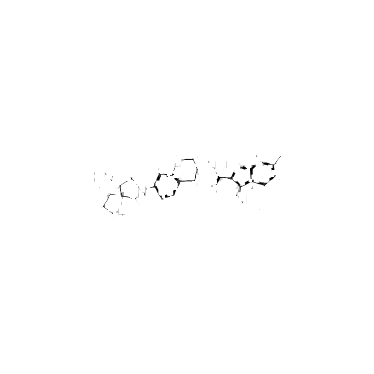 Cc1ccc2c(N)c(C(=O)N[C@H]3COc4cc(N5C[C@@H](N)[C@]6(CCCO6)C5)ccc4C3)sc2n1